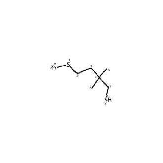 CC(C)SCCC(C)(C)CS